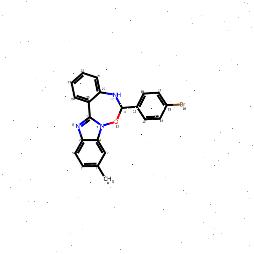 Cc1ccc2nc3n(c2c1)OC(c1ccc(Br)cc1)Nc1ccccc1-3